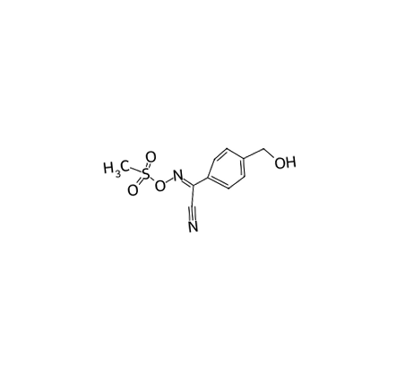 CS(=O)(=O)O/N=C(\C#N)c1ccc(CO)cc1